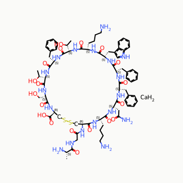 CC(O)[C@@H]1NC(=O)[C@H](Cc2ccccc2)NC(=O)[C@H](C(C)O)NC(=O)[C@H](CCCCN)NC(=O)[C@H](Cc2c[nH]c3ccccc23)NC(=O)[C@H](Cc2ccccc2)NC(=O)[C@H](Cc2ccccc2)NC(=O)[C@H](CC(N)=O)NC(=O)[C@H](CCCCN)NC(=O)[C@@H](NC(=O)CNC(=O)[C@H](C)N)CSSC[C@@H](C(=O)O)NC(=O)[C@H](CO)NC1=O.[CaH2]